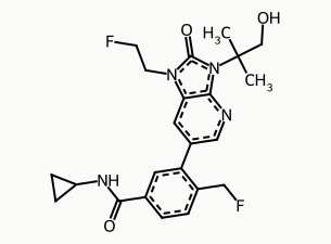 CC(C)(CO)n1c(=O)n(CCF)c2cc(-c3cc(C(=O)NC4CC4)ccc3CF)cnc21